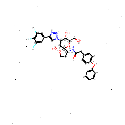 O=C(Cc1ccc(Oc2ccccc2)cc1)N[C@@H]1CCO[C@]12O[C@H](CO)[C@H](O)[C@H](n1cc(-c3cc(F)c(F)c(F)c3)nn1)[C@H]2O